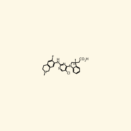 CN1CCc2cc(F)c(Nc3ncc(Cl)c(N4C[C@](C)(CC(=O)O)c5ccccc54)n3)cc2C1